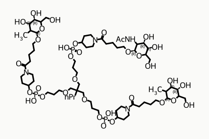 CCCC(COCCCOP(=O)(O)OC1CCN(C(=O)CCCCO[C@@H]2OC(CO)[C@H](O)[C@H](O)C2C)CC1)(COCCCOP(=O)(O)OC1CCN(C(=O)CCCCO[C@@H]2OC(CO)[C@H](O)[C@H](O)C2C)CC1)COCCCOP(=O)(O)OC1CCN(C(=O)CCCCO[C@@H]2OC(CO)[C@H](O)[C@H](O)C2NC(C)=O)CC1